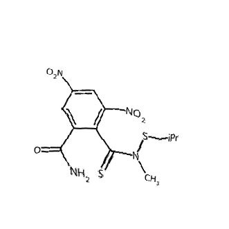 CC(C)SN(C)C(=S)c1c(C(N)=O)cc([N+](=O)[O-])cc1[N+](=O)[O-]